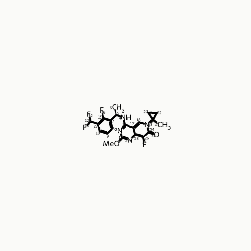 COc1nc(N[C@H](C)c2cccc(C(F)F)c2F)c2cn(C3(C)CC3)c(=O)c(F)c2n1